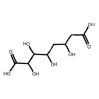 O=C(O)CC(O)CC(O)C(O)C(O)C(=O)O